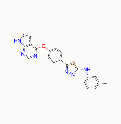 Cc1cccc(Nc2nnc(-c3ccc(Oc4ncnc5[nH]ccc45)cc3)s2)c1